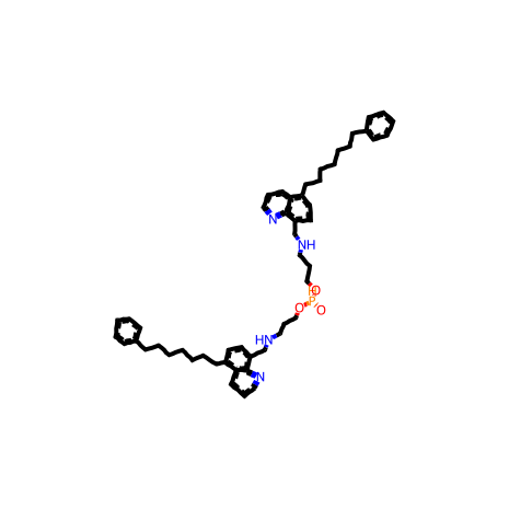 O=[PH](OCCCNCc1ccc(CCCCCCCc2ccccc2)c2cccnc12)OCCCNCc1ccc(CCCCCCCc2ccccc2)c2cccnc12